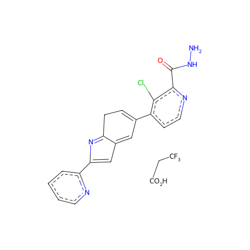 NNC(=O)c1nccc(C2=CCC3=NC(c4ccccn4)=CC3=C2)c1Cl.O=C(O)CC(F)(F)F